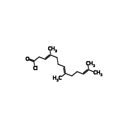 CC(C)=CCCC(C)=CCCC(C)=CCC(=O)Cl